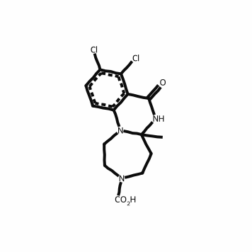 CC12CCN(C(=O)O)CCN1c1ccc(Cl)c(Cl)c1C(=O)N2